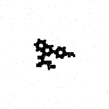 N=C(NC=O)Nc1cc(-c2ccc([N+](=O)[O-])cc2)nc2ccccc12